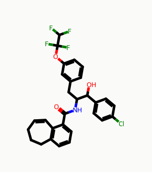 O=C(NC(Cc1cccc(OC(F)(F)C(F)F)c1)C(O)c1ccc(Cl)cc1)c1cccc2c1C=CCCC2